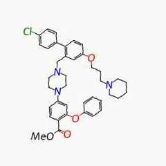 COC(=O)c1ccc(N2CCN(Cc3cc(OCCCN4CCCCC4)ccc3-c3ccc(Cl)cc3)CC2)cc1Oc1ccccc1